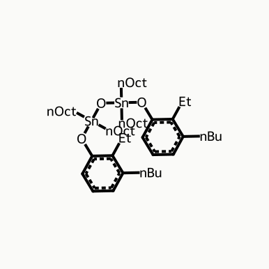 CCCCCCC[CH2][Sn]([CH2]CCCCCCC)([O]c1cccc(CCCC)c1CC)[O][Sn]([CH2]CCCCCCC)([CH2]CCCCCCC)[O]c1cccc(CCCC)c1CC